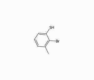 Cc1cccc(S)c1Br